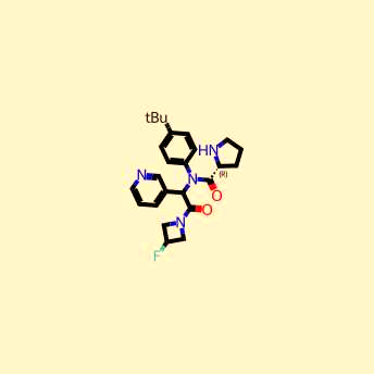 CC(C)(C)c1ccc(N(C(=O)[C@H]2CCCN2)C(C(=O)N2CC(F)C2)c2cccnc2)cc1